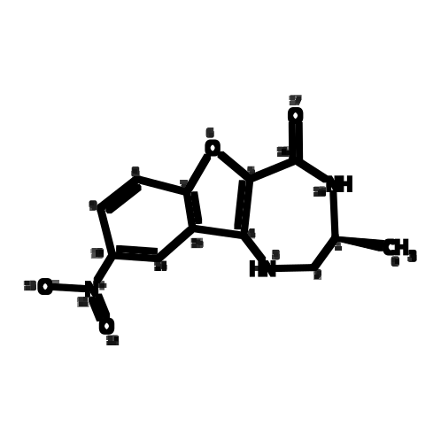 C[C@H]1CNc2c(oc3ccc([N+](=O)[O-])cc23)C(=O)N1